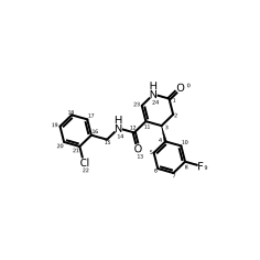 O=C1C[C@@H](c2cccc(F)c2)C(C(=O)NCc2ccccc2Cl)=CN1